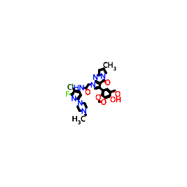 CCN1CCN(c2cc(NC(=O)Cn3cc(-c4cc(C=O)c(O)c5c4OCO5)c4c(=O)n5c(nc43)CC(C)C5)c(Cl)c(F)n2)CC1